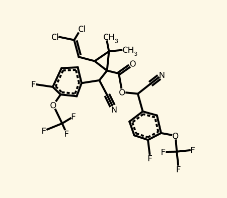 CC1(C)C(C=C(Cl)Cl)C1(C(=O)OC(C#N)c1ccc(F)c(OC(F)(F)F)c1)C(C#N)c1ccc(F)c(OC(F)(F)F)c1